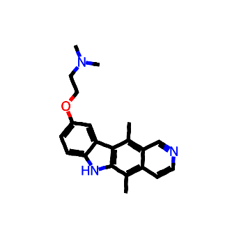 Cc1c2ccncc2c(C)c2c1[nH]c1ccc(OCCN(C)C)cc12